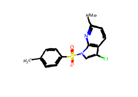 CNc1ccc2c(Cl)cn(S(=O)(=O)c3ccc(C)cc3)c2n1